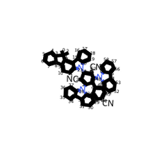 CC1(C)c2ccccc2-c2ccc3c(c21)c1ccccc1n3-c1c(C#N)c(-n2c3ccccc3c3ccccc32)c(-c2ccc(C#N)cc2)c(-n2c3ccccc3c3ccccc32)c1C#N